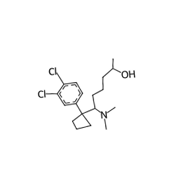 CC(O)CCCC(N(C)C)C1(c2ccc(Cl)c(Cl)c2)CCC1